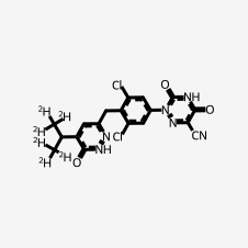 [2H]C([2H])([2H])C(c1cc(Cc2c(Cl)cc(-n3nc(C#N)c(=O)[nH]c3=O)cc2Cl)n[nH]c1=O)C([2H])([2H])[2H]